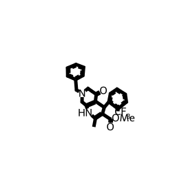 COC(=O)C1=C(C)NC2=C(C(=O)CN(Cc3ccccc3)C2)C1c1ccccc1C(F)(F)F